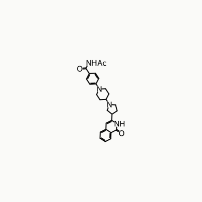 CC(=O)NC(=O)c1ccc(N2CCC(N3CCC(c4cc5ccccc5c(=O)[nH]4)C3)CC2)cc1